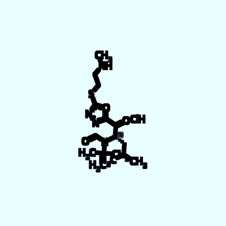 CNCCSc1nnc(C(=O)[C@H](CC(C)C)N(C=O)C(C)(C)C)o1.Cl